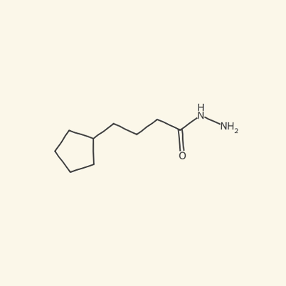 NNC(=O)CCCC1CCCC1